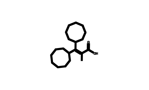 CC(C(=O)O)=C(C1CCCCCCC1)C1CCCCCCC1